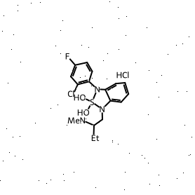 CCC(CN1c2ccccc2N(c2ccc(F)cc2Cl)S1(O)O)NC.Cl